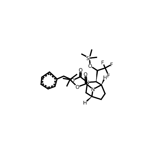 CC(C)(C)OC(=O)N1[C@@H]2CC[C@H]1[C@H](C(O[Si](C)(C)C)C(F)(F)F)N(C(=O)OCc1ccccc1)C2